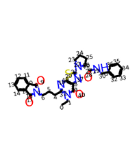 CCn1c(CCCN2C(=O)c3ccccc3C2=O)nc2sc(N3CCC[C@@H]3C(=O)NCc3ccccc3)nc2c1=O